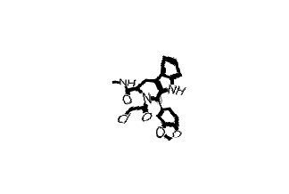 CNC(=O)C1Cc2c([nH]c3ccccc23)[C@@H](c2ccc3c(c2)OCO3)N1C(=O)CCl